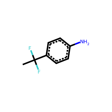 CC(F)(F)c1ccc(N)cc1